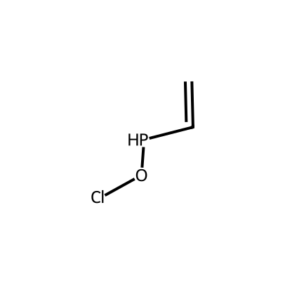 C=CPOCl